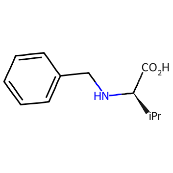 CC(C)[C@@H](NCc1ccccc1)C(=O)O